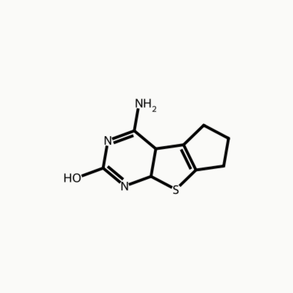 NC1=NC(O)=NC2SC3=C(CCC3)C12